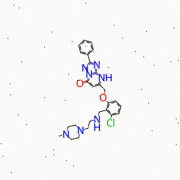 CN1CCN(CCNCc2c(Cl)cccc2OCc2cc(=O)n3nc(-c4ccccc4)nc3[nH]2)CC1